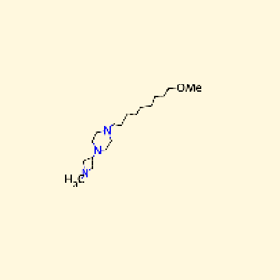 COCCCCCCCCCN1CCN(C2CN(C)C2)CC1